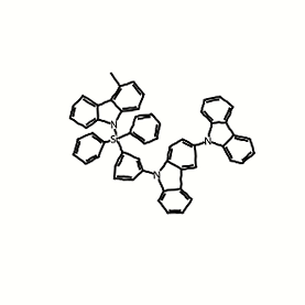 Cc1cccc2c1c1ccccc1n2[Si](c1ccccc1)(c1ccccc1)c1cccc(-n2c3ccccc3c3cc(-n4c5ccccc5c5ccccc54)ccc32)c1